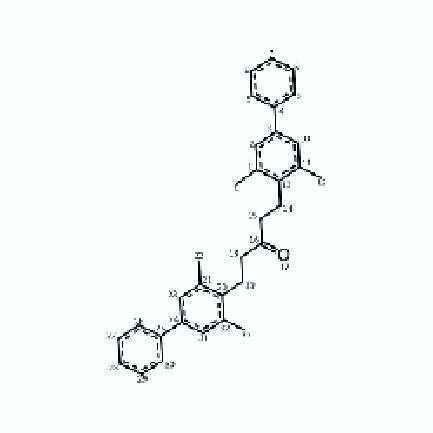 Cc1cc(-c2ccccc2)cc(C)c1CCC(=O)CCc1c(C)cc(-c2ccccc2)cc1C